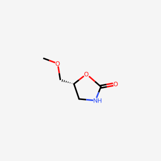 COC[C@H]1CNC(=O)O1